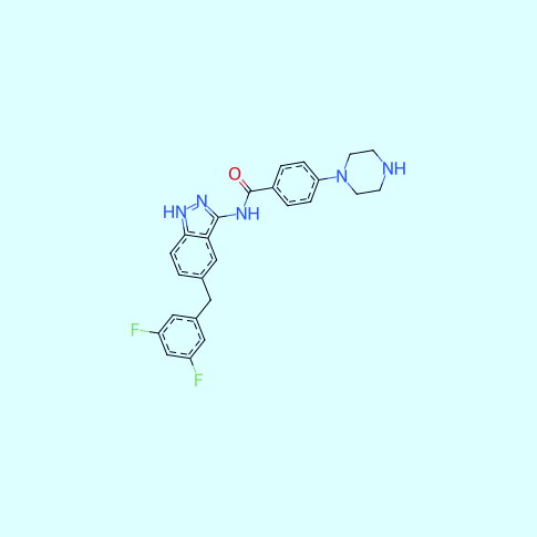 O=C(Nc1n[nH]c2ccc(Cc3cc(F)cc(F)c3)cc12)c1ccc(N2CCNCC2)cc1